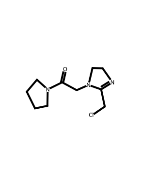 O=C(CN1CCN=C1CCl)N1CCCC1